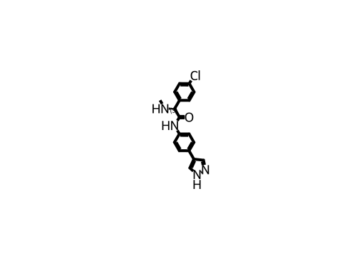 CN[C@H](C(=O)Nc1ccc(-c2cn[nH]c2)cc1)c1ccc(Cl)cc1